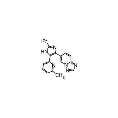 Cc1cccc(-c2[nH]c(C(C)C)nc2-c2ccc3ncnn3c2)n1